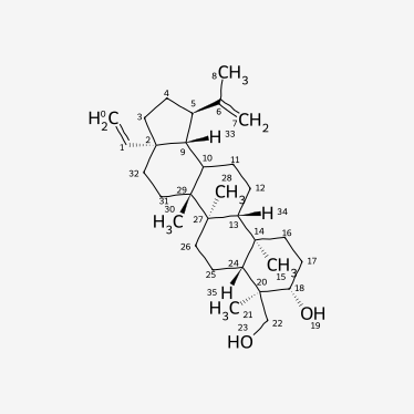 C=C[C@]12CC[C@@H](C(=C)C)[C@@H]1C1CC[C@@H]3[C@@]4(C)CC[C@H](O)[C@@](C)(CO)[C@@H]4CC[C@@]3(C)[C@]1(C)CC2